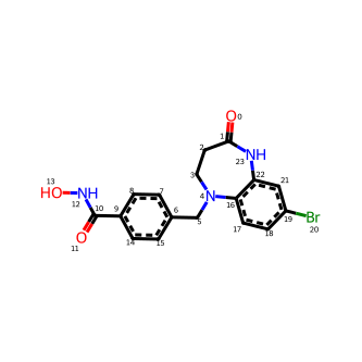 O=C1CCN(Cc2ccc(C(=O)NO)cc2)c2ccc(Br)cc2N1